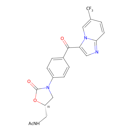 CC(=O)NC[C@H]1CN(c2ccc(C(=O)c3cnc4ccc(C(F)(F)F)cn34)cc2)C(=O)O1